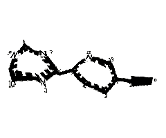 C#Cc1ccc(-c2ncncn2)nc1